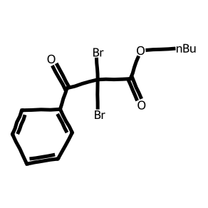 CCCCOC(=O)C(Br)(Br)C(=O)c1ccccc1